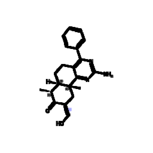 C[C@H]1C(=O)/C(=C\O)C[C@@]2(C)c3nc(N)nc(-c4ccccc4)c3CC[C@H]12